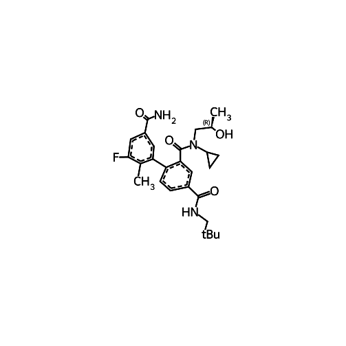 Cc1c(F)cc(C(N)=O)cc1-c1ccc(C(=O)NCC(C)(C)C)cc1C(=O)N(C[C@@H](C)O)C1CC1